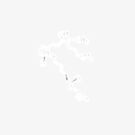 CCCCC(CC)C(O)CC[C@H]1CCC(=O)[C@@H]1CCCCC=CC(=O)OCC